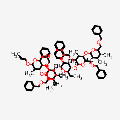 C=CCO[C@H]1OC(CO)[C@@H](O[C@@H]2OC(COCc3ccccc3)[C@@H](C)[C@H](C)C2O[C@H]2OC(CC)[C@@H](O[C@@H]3OC(COCc4ccccc4)[C@H](O[C@H]4OC(COCc5ccccc5)[C@H](C)[C@H](C)C4C)[C@H](C)C3OCc3ccccc3)[C@H](C)C2OCc2ccccc2)[C@H](O[C@@H]2OC(CC)[C@@H](C)[C@H](C)C2OCc2ccccc2)C1C